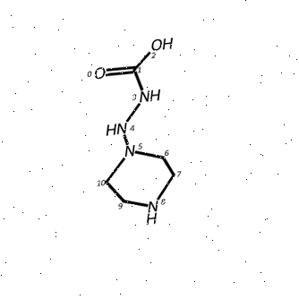 O=C(O)NNN1CCNCC1